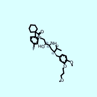 COCCCOc1cc(C[C@@H](C[C@H](N)[C@@H](O)CNC(=O)C2(c3ccc(F)cc3)CCCCC2)C(C)C)ccc1OC